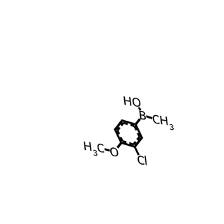 COc1ccc(B(C)O)cc1Cl